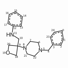 c1ccc(CN2CCN(C3(CNc4ccccc4)COC3)CC2)cc1